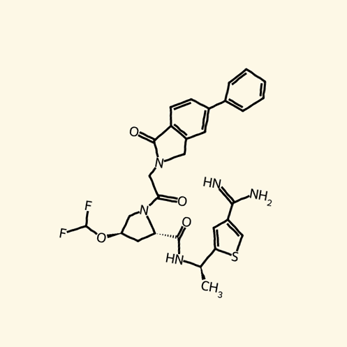 C[C@@H](NC(=O)[C@@H]1C[C@@H](OC(F)F)CN1C(=O)CN1Cc2cc(-c3ccccc3)ccc2C1=O)c1cc(C(=N)N)cs1